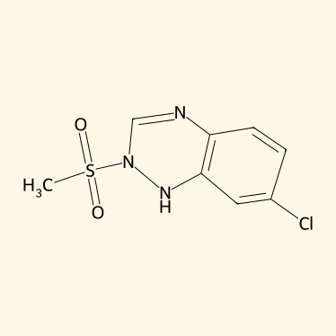 CS(=O)(=O)N1C=Nc2ccc(Cl)cc2N1